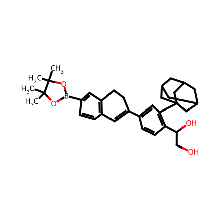 CC1(C)OB(c2ccc3c(c2)CCC(c2ccc(C(O)CO)c(C45CC6CC(CC(C6)C4)C5)c2)=C3)OC1(C)C